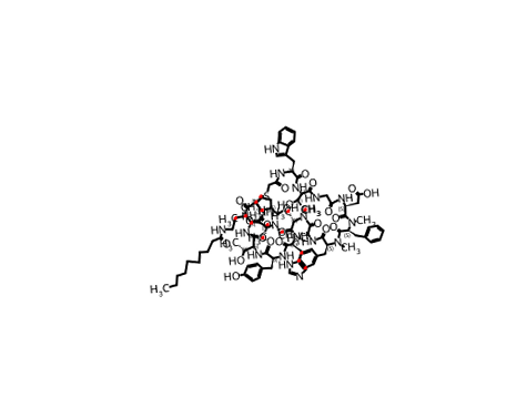 CCCCCCCCCC(=O)NCCNC(=O)[C@H](CSCC(=O)N[C@@H](Cc1c[nH]c2ccccc12)C(=O)N[C@H](C(=O)NCC(=O)N[C@@H](CC(=O)O)C(=O)N(C)[C@@H](Cc1ccccc1)C(=O)N(C)[C@@H](Cc1ccccc1)C(=O)NC(C)C(=O)N(C)[C@@H](C)C(=O)N[C@@H](Cc1cnc[nH]1)C(=O)N[C@@H](Cc1ccc(O)cc1)C(=O)N[C@H](C(=O)N[C@H](C(=O)N1CCC[C@H]1CO)C(C)C)[C@@H](C)O)[C@@H](C)O)NC(=O)[C@H](C)NC